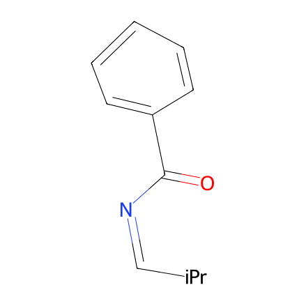 CC(C)/C=N\C(=O)c1ccccc1